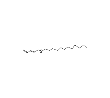 C=C/C=C/CSCCCCCCCCCCCC